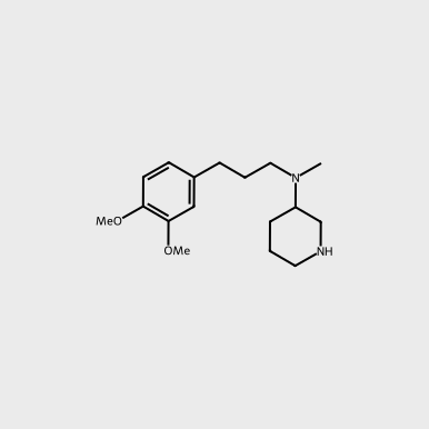 COc1ccc(CCCN(C)C2CCCNC2)cc1OC